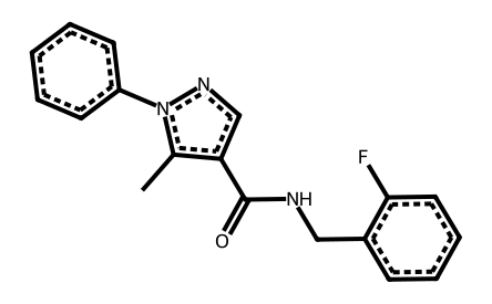 Cc1c(C(=O)NCc2ccccc2F)cnn1-c1ccccc1